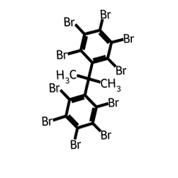 CC(C)(c1c(Br)c(Br)c(Br)c(Br)c1Br)c1c(Br)c(Br)c(Br)c(Br)c1Br